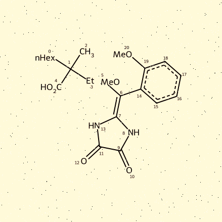 CCCCCCC(C)(CC)C(=O)O.COC(=C1NC(=O)C(=O)N1)c1ccccc1OC